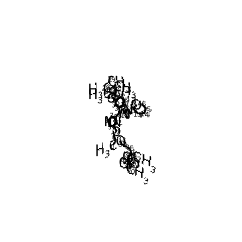 CC(COc1cncc(-c2nn(C3CCCCO3)c3ccc(O[Si](C)(C)C(C)(C)C)cc23)n1)OCCC(C)OS(C)(=O)=O